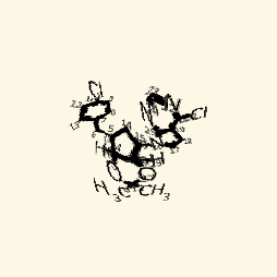 CC1(C)O[C@@H]2[C@@H](Cc3ccc(Cl)cc3)C[C@@H](n3ccc4c(Cl)ncnc43)[C@@H]2O1